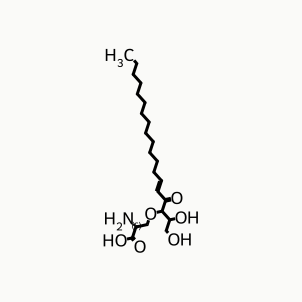 CCCCCCCCCCCCCC=CC(=O)C(OC[C@H](N)C(=O)O)C(O)CO